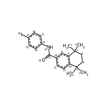 CC1(C)CCC(C)(C)c2cc(C(=O)Nc3ccc(I)cc3)ccc21